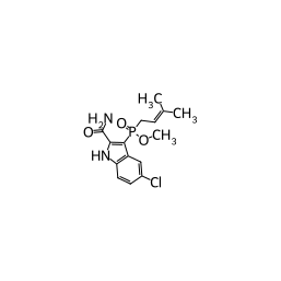 COP(=O)(CC=C(C)C)c1c(C(N)=O)[nH]c2ccc(Cl)cc12